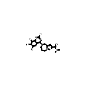 CN(C)C(=O)c1cc2n(n1)CCCN(c1nc(Cl)nc3c(F)c(Br)c(Cl)cc13)C2